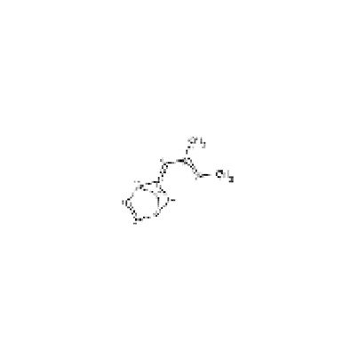 CC=C(C)C=C1CC2C=CC1C2